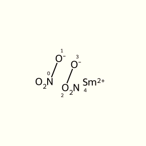 O=[N+]([O-])[O-].O=[N+]([O-])[O-].[Sm+2]